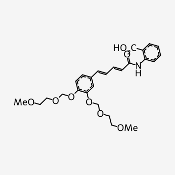 COCCOCOc1ccc(C=CC=CC(=O)Nc2ccccc2C(=O)O)cc1OCOCCOC